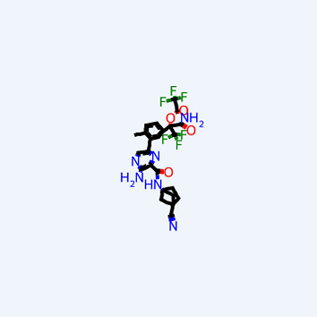 Cc1ccc(C(OC(=O)C(F)(F)F)(C(N)=O)C(F)(F)F)cc1-c1cnc(N)c(C(=O)NC23CCC(C#N)(C2)C3)n1